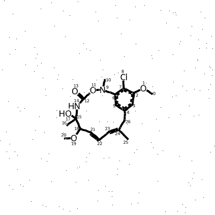 COc1cc2cc(c1Cl)N(C)OC(=O)NC(C)(O)C(OC)/C=C/C=C(\C)C2